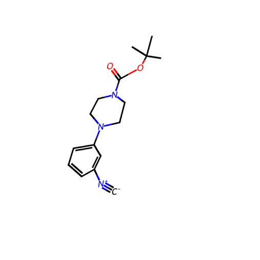 [C-]#[N+]c1cccc(N2CCN(C(=O)OC(C)(C)C)CC2)c1